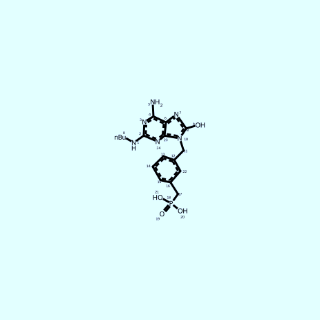 CCCCNc1nc(N)c2nc(O)n(Cc3cccc(CP(=O)(O)O)c3)c2n1